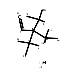 CC(C)(C)C(C=O)(C(C)(C)C)C(C)(C)C.[LiH]